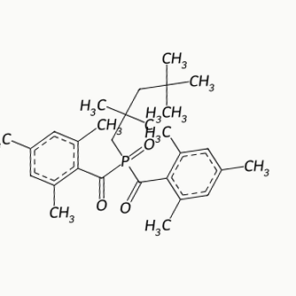 Cc1cc(C)c(C(=O)P(=O)(CC(C)(C)CC(C)(C)C)C(=O)c2c(C)cc(C)cc2C)c(C)c1